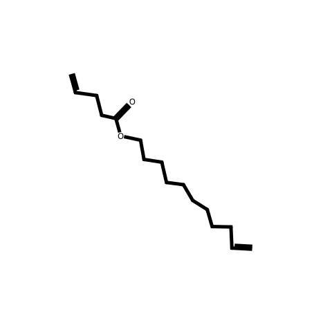 C=CCCCCCCCCCOC(=O)CCC=C